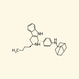 CCCC[C@H]1Cc2c([nH]c3ccccc23)[C@H](c2ccc(NC34CC5CC(CC(C5)C3)C4)cc2)N1